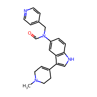 CN1CC=C(c2c[nH]c3ccc(N(C=O)Cc4ccncc4)cc23)CC1